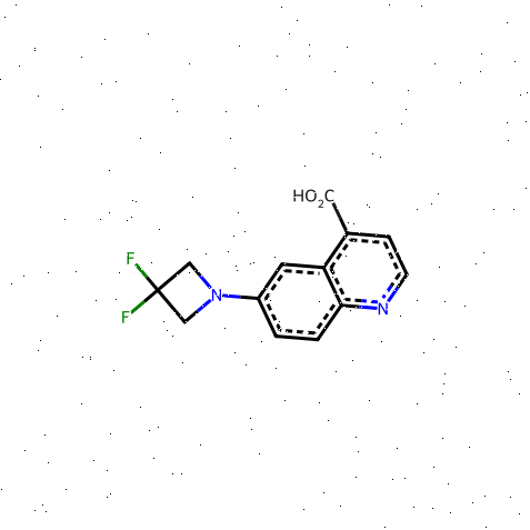 O=C(O)c1ccnc2ccc(N3CC(F)(F)C3)cc12